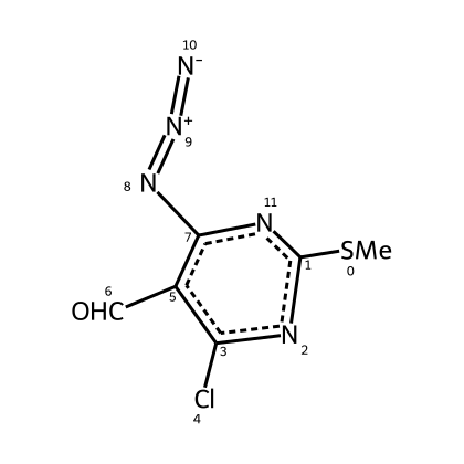 CSc1nc(Cl)c(C=O)c(N=[N+]=[N-])n1